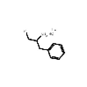 Cl.Cl.NC(CS)Cc1ccccc1